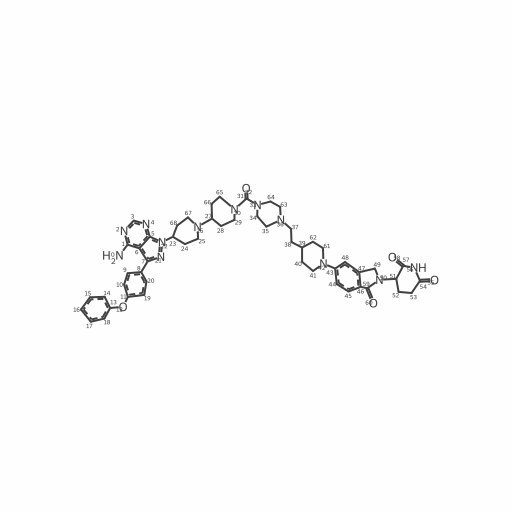 Nc1ncnc2c1c(-c1ccc(Oc3ccccc3)cc1)nn2C1CCN(C2CCN(C(=O)N3CCN(CCC4CCN(c5ccc6c(c5)CN(C5CCC(=O)NC5=O)C6=O)CC4)CC3)CC2)CC1